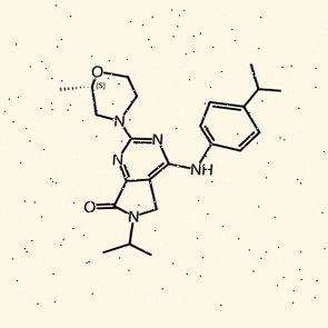 CC(C)c1ccc(Nc2nc(N3CCO[C@@H](C)C3)nc3c2CN(C(C)C)C3=O)cc1